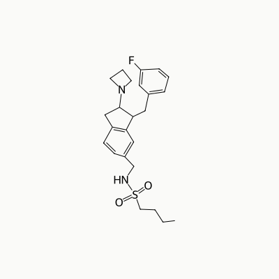 CCCCS(=O)(=O)NCc1ccc2c(c1)C(Cc1cccc(F)c1)C(N1CCC1)C2